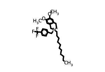 CCCCCCCCCCC[N+]1(Cc2ccc(C(F)(F)F)cc2)CCc2cc(OC)c(OC)cc2C1